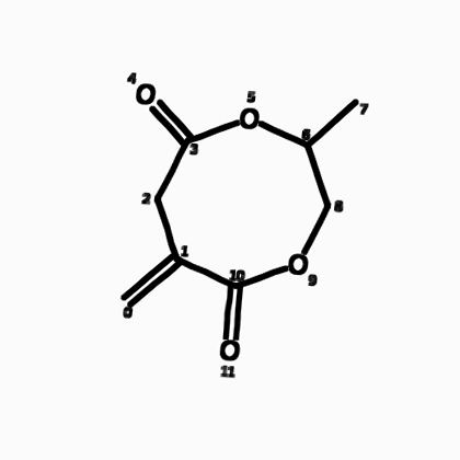 C=C1CC(=O)OC(C)COC1=O